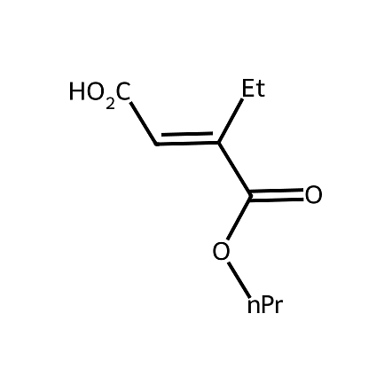 CCCOC(=O)C(=CC(=O)O)CC